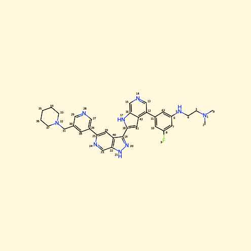 CN(C)CCNc1cc(F)cc(-c2cncc3[nH]c(-c4n[nH]c5cnc(-c6cncc(CN7CCCCC7)c6)cc45)cc23)c1